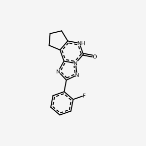 O=c1[nH]c2c(c3nc(-c4ccccc4F)nn13)CCC2